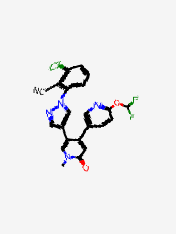 Cn1cc(-c2cnn(-c3cccc(Cl)c3C#N)c2)c(-c2ccc(OC(F)F)nc2)cc1=O